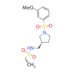 C=CS(=O)(=O)NC[C@@H]1CCN(S(=O)(=O)c2cccc(OC)c2)C1